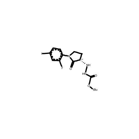 CC(C)(C)OC(=O)NN[C@H]1CCN(c2ccc(I)cc2F)C1=O